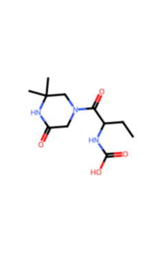 CCC(NC(=O)O)C(=O)N1CC(=O)NC(C)(C)C1